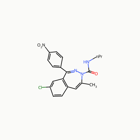 CCCNC(=O)N1N=C(c2ccc([N+](=O)[O-])cc2)c2cc(Cl)ccc2C=C1C